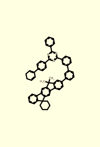 CC1(C)c2cc(-c3cccc(-c4cccc(-c5nc(-c6ccccc6)nc(-c6ccc(C7=CCCC=C7)cc6)n5)c4)c3)ccc2-c2cc3c(cc21)-c1ccccc1C31CCCCC1